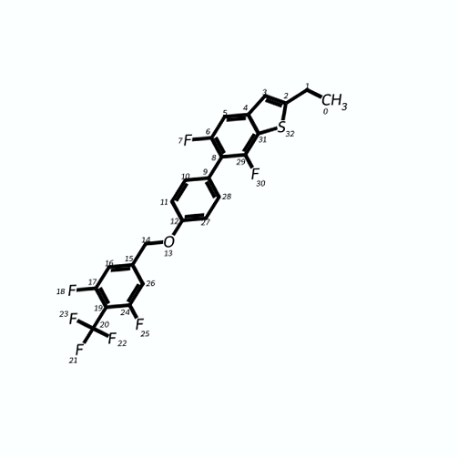 CCc1cc2cc(F)c(-c3ccc(OCc4cc(F)c(C(F)(F)F)c(F)c4)cc3)c(F)c2s1